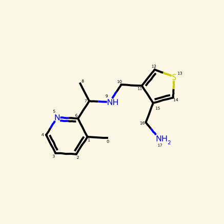 Cc1cccnc1C(C)NCc1cscc1CN